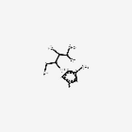 O=CC(O)C(O)C(O)CO.O=[N+]([O-])c1cc[nH]c1